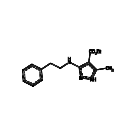 CCOC(=O)c1c(NCCc2ccccc2)n[nH]c1C